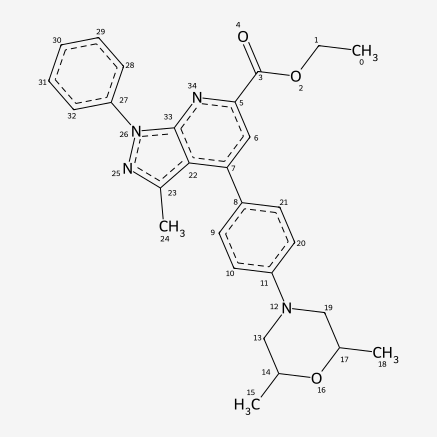 CCOC(=O)c1cc(-c2ccc(N3CC(C)OC(C)C3)cc2)c2c(C)nn(-c3ccccc3)c2n1